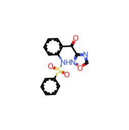 O=C(c1ncon1)c1ccccc1NS(=O)(=O)c1ccccc1